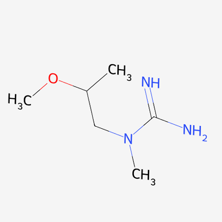 COC(C)CN(C)C(=N)N